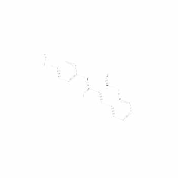 COc1ccc(CC(=O)c2cc3ccccc3sc2=O)cc1